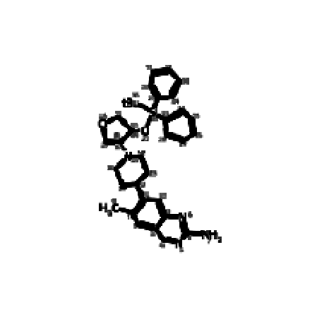 Cc1cc2cnc(N)nc2cc1C1CCN([C@@H]2COC[C@@H]2O[Si](c2ccccc2)(c2ccccc2)C(C)(C)C)CC1